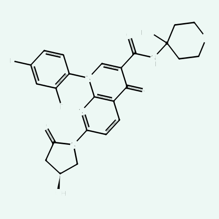 O=C(NC1(C(F)(F)F)CCOCC1)c1cn(-c2ccc(F)cc2F)c2nc(N3C[C@@H](O)CC3=O)ccc2c1=O